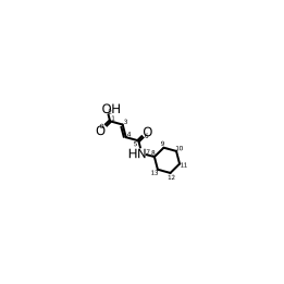 O=C(O)/C=C/C(=O)NC1CCCCC1